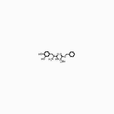 CC[C@H](C)[C@H](NC(=O)[C@@H](N)Cc1ccc(O)c(O)c1)C(=O)OCc1ccccc1